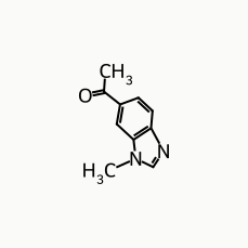 CC(=O)c1ccc2ncn(C)c2c1